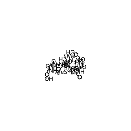 CSCC[C@@H](C(=O)NCNC(=O)[C@H](CCSC)N(C)C(=O)[C@H](Cc1ccccc1)NC(=O)CNC(=O)[C@@H](C)NC(=O)[C@@H](N)Cc1ccc(O)cc1)N(C)C(=O)[C@H](Cc1ccccc1)NC(=O)CNC(=O)[C@@H](C)NC(=O)[C@@H](N)Cc1ccc(O)cc1